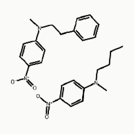 CCCCN(C)c1ccc([N+](=O)[O-])cc1.CN(CCc1ccccc1)c1ccc([N+](=O)[O-])cc1